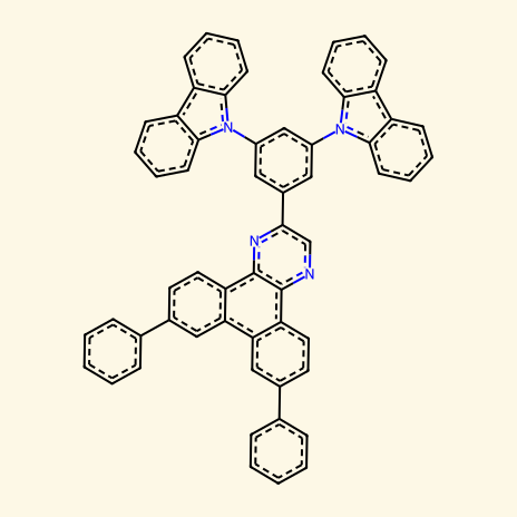 c1ccc(-c2ccc3c(c2)c2cc(-c4ccccc4)ccc2c2nc(-c4cc(-n5c6ccccc6c6ccccc65)cc(-n5c6ccccc6c6ccccc65)c4)cnc32)cc1